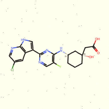 O=C(O)C[C@@]1(O)CCC[C@H](Nc2nc(-c3c[nH]c4ncc(Cl)cc34)ncc2F)C1